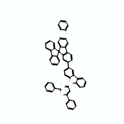 c1ccc(-c2cc(-n3c4ccccc4c4cc(-c5ccc6c(c5)C5(c7ccccc7-c7ccccc75)c5cc7c(cc5-6)Oc5ccccc5O7)ccc43)nc(-c3ccccc3)n2)cc1